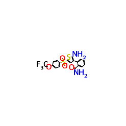 NC(=O)c1ccccc1-c1cc(S(=O)(=O)c2ccc(OC(F)(F)F)cc2)sc1N